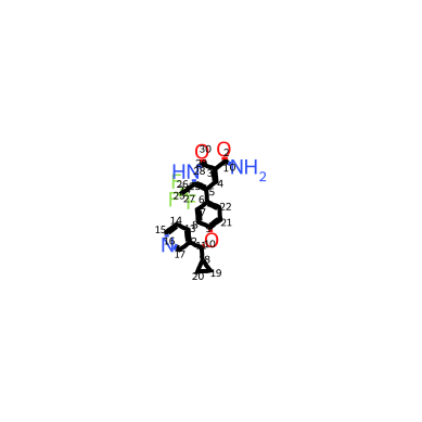 NC(=O)c1cc(-c2ccc(OC(c3cccnc3)C3CC3)cc2)c(C(F)(F)F)[nH]c1=O